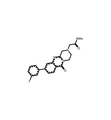 CNC(=O)CN1CCn2c(nc3cc(-c4cccc(F)c4)ccc3c2=O)C1